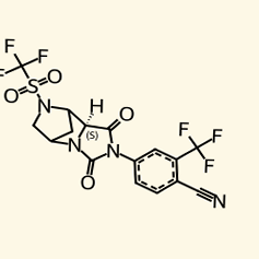 N#Cc1ccc(N2C(=O)[C@@H]3C4CC(CN4S(=O)(=O)C(F)(F)F)N3C2=O)cc1C(F)(F)F